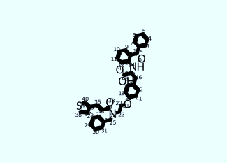 O=C(c1ccccc1)c1ccccc1NC(Cc1ccc(OCCN(Cc2ccccc2)C(=O)C=Cc2ccsc2)cc1)C(=O)O